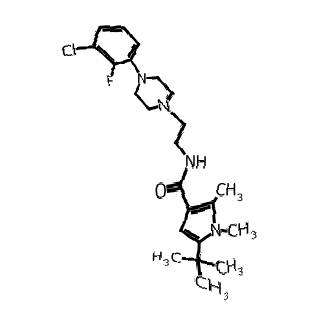 Cc1c(C(=O)NCCN2CCN(c3cccc(Cl)c3F)CC2)cc(C(C)(C)C)n1C